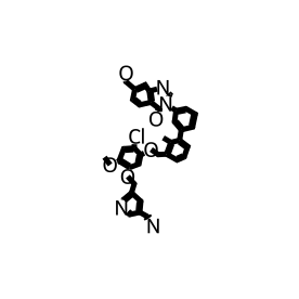 COc1cc(Cl)c(OCc2cccc(-c3cccc(-n4cnc5cc(C=O)ccc5c4=O)c3)c2C)cc1OCc1cncc(C#N)c1